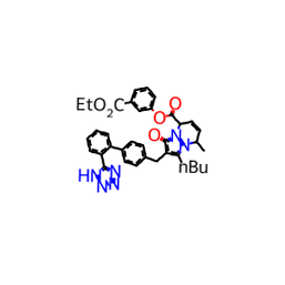 CCCCc1c(Cc2ccc(-c3ccccc3-c3nnn[nH]3)cc2)c(=O)n2n1C(C)C=CC2C(=O)Oc1cccc(C(=O)OCC)c1